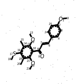 COc1ccc(/C=C/C(=O)c2c(OC)c(C)c(SC)c(C)c2OC)cc1